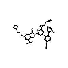 Cn1cnnc1-c1ccc(C#N)cc1-c1cc(NCCC#N)nc(N2Cc3c(cc(CNCC4CCC4)cc3C(F)(F)F)C2=O)c1